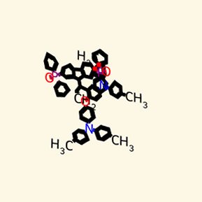 C=CC(c1cc(N(c2ccc(C)cc2)c2ccc(C)cc2)ccc1Oc1ccc(N(c2ccc(C)cc2)c2ccc(C)cc2)cc1)C1c2cc(P(=O)(c3ccccc3)c3ccccc3)ccc2-c2ccc(P(=O)(c3ccccc3)c3ccccc3)cc21